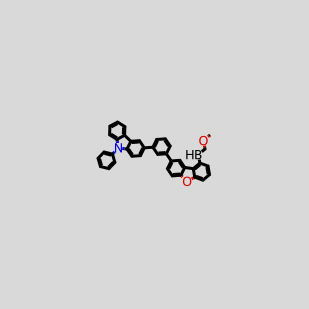 COCBc1cccc2oc3ccc(-c4cccc(-c5ccc6c(c5)c5ccccc5n6-c5ccccc5)c4)cc3c12